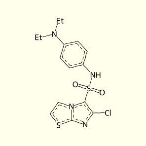 CCN(CC)c1ccc(NS(=O)(=O)c2c(Cl)nc3sccn23)cc1